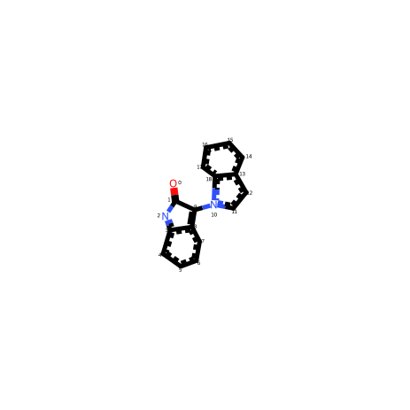 O=C1N=c2ccccc2=C1n1c[c]c2ccccc21